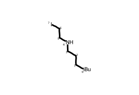 CCC(C)CCCNCCI